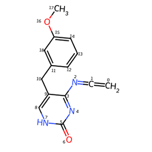 C=C=Nc1nc(=O)[nH]cc1Cc1cccc(OC)c1